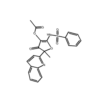 CC(=O)OC1=C(NS(=O)(=O)c2ccccc2)OC(C)(c2ccc3ccccc3n2)C1=O